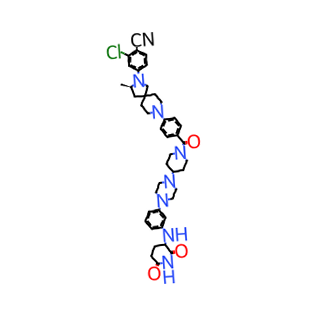 C[C@@H]1CC2(CCN(c3ccc(C(=O)N4CCC(N5CCN(c6cccc(NC7CCC(=O)NC7=O)c6)CC5)CC4)cc3)CC2)CN1c1ccc(C#N)c(Cl)c1